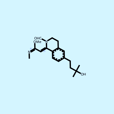 C/N=C(\C=C1\c2ccc(CCC(C)(C)O)cc2CCN1C=O)OC